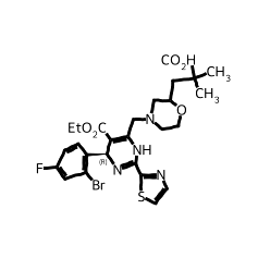 CCOC(=O)C1=C(CN2CCOC(CC(C)(C)C(=O)O)C2)NC(c2nccs2)=N[C@H]1c1ccc(F)cc1Br